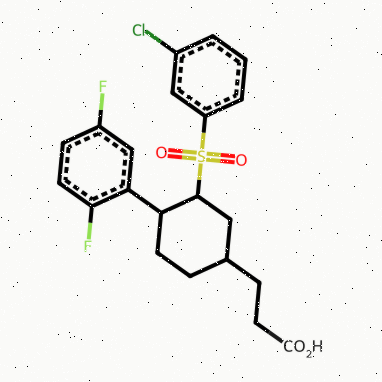 O=C(O)CCC1CCC(c2cc(F)ccc2F)C(S(=O)(=O)c2cccc(Cl)c2)C1